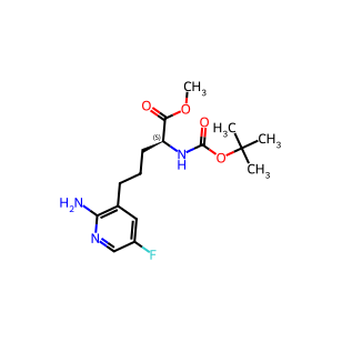 COC(=O)[C@H](CCCc1cc(F)cnc1N)NC(=O)OC(C)(C)C